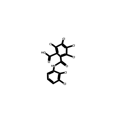 O=C(O)c1c(Cl)c(Cl)c(Cl)c(Cl)c1C(=O)Nc1cccc(Cl)c1Cl